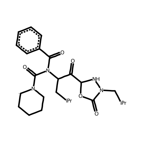 CC(C)CC(C(=O)C1NN(CC(C)C)C(=O)O1)N(C(=O)c1ccccc1)C(=O)N1[CH]CCCC1